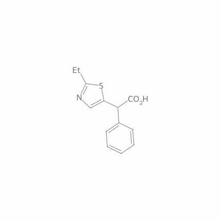 CCc1ncc(C(C(=O)O)c2ccccc2)s1